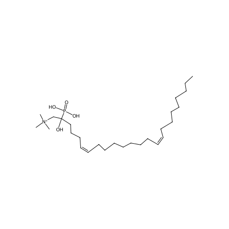 CCCCCCCC/C=C\CCCCCCC/C=C\CCCC(O)(C[N+](C)(C)C)P(=O)(O)O